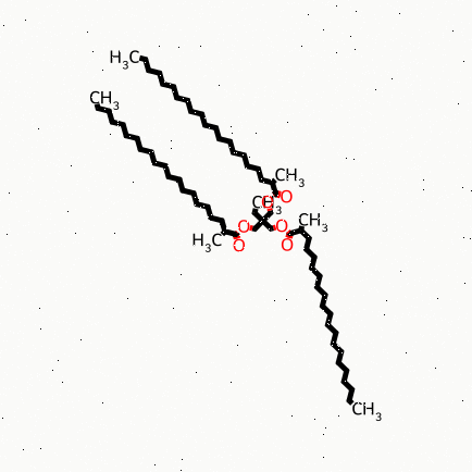 CCCCCCCCCCCCCCCCCCCC(C)C(=O)OCC(CC)(COC(=O)C(C)CCCCCCCCCCCCCCCCCCC)COC(=O)C(C)CCCCCCCCCCCCCCCCCCC